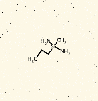 CCC[Si](C)(N)N